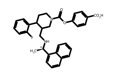 C[C@@H](NCC1CN(C(=O)Oc2ccc(C(=O)O)cc2)CCC1c1ccccc1F)c1cccc2ccccc12